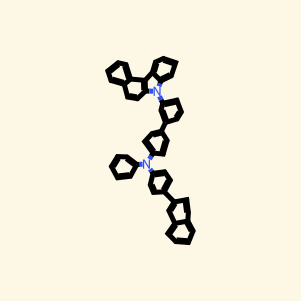 c1ccc(N(c2ccc(-c3cccc(-n4c5ccccc5c5c6ccccc6ccc54)c3)cc2)c2ccc(-c3ccc4ccccc4c3)cc2)cc1